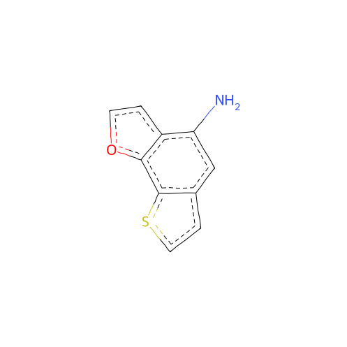 Nc1cc2ccsc2c2occc12